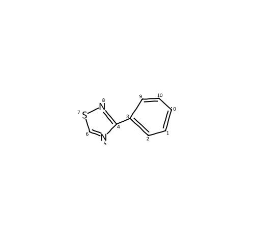 [c]1ccc(-c2ncsn2)cc1